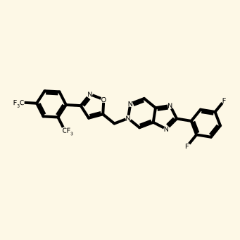 Fc1ccc(F)c(-c2nc3cnn(Cc4cc(-c5ccc(C(F)(F)F)cc5C(F)(F)F)no4)cc-3n2)c1